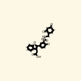 O=C(O)Cc1c(-c2ccc(Cl)c(S(=O)(=O)NCc3ccc(Cl)cc3Cl)c2)[nH]c2ccccc12